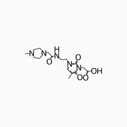 Cc1cn(CCNC(=O)CN2CCN(C)CC2)c(=O)n(CC(=O)O)c1=O